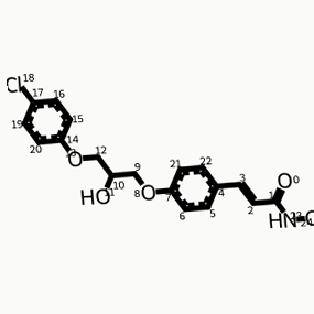 O=C(C=Cc1ccc(OCC(O)COc2ccc(Cl)cc2)cc1)NO